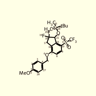 COc1ccc(COc2ccc(S(=O)(=O)C(F)(F)F)c3c2CC(F)(F)C3O[Si](C)(C)C(C)(C)C)cc1